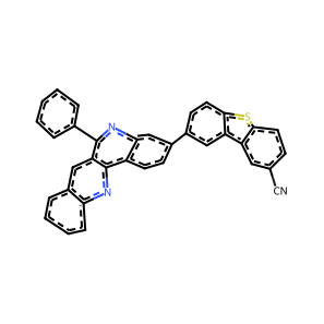 N#Cc1ccc2sc3ccc(-c4ccc5c(c4)nc(-c4ccccc4)c4cc6ccccc6nc45)cc3c2c1